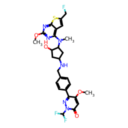 COc1nc(N(C)C2CC(NCc3ccc(-c4nn(C(F)F)c(=O)cc4OC)cc3)CC2O)c2cc(CF)sc2n1